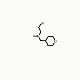 CC(C)CCN(C)CC1CCOCC1